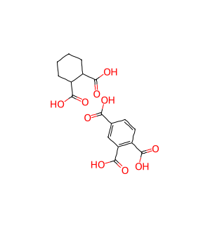 O=C(O)C1CCCCC1C(=O)O.O=C(O)c1ccc(C(=O)O)c(C(=O)O)c1